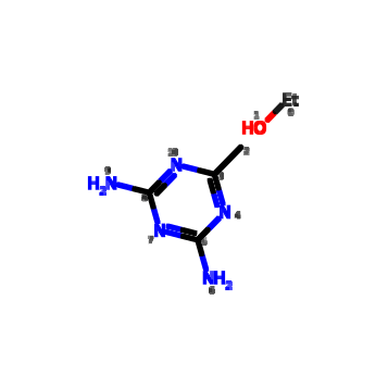 CCO.Cc1nc(N)nc(N)n1